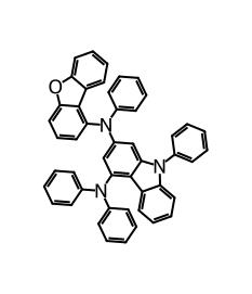 c1ccc(N(c2cc(N(c3ccccc3)c3ccccc3)c3c4ccccc4n(-c4ccccc4)c3c2)c2cccc3oc4ccccc4c23)cc1